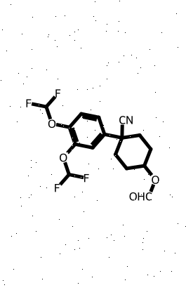 N#CC1(c2ccc(OC(F)F)c(OC(F)F)c2)CCC(OC=O)CC1